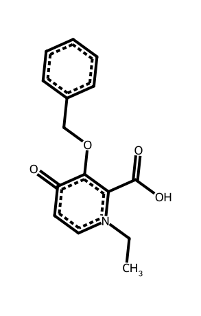 CCn1ccc(=O)c(OCc2ccccc2)c1C(=O)O